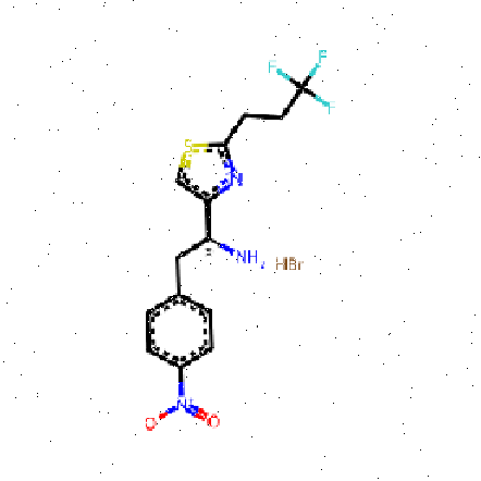 Br.N[C@@H](Cc1ccc([N+](=O)[O-])cc1)c1csc(CCC(F)(F)F)n1